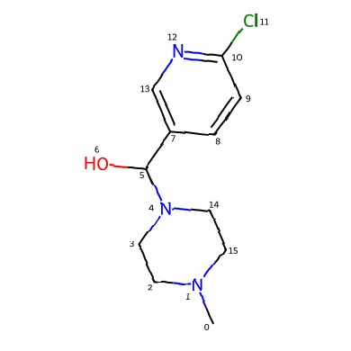 CN1CCN(C(O)c2ccc(Cl)nc2)CC1